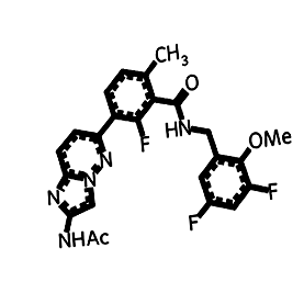 COc1c(F)cc(F)cc1CNC(=O)c1c(C)ccc(-c2ccc3nc(NC(C)=O)cn3n2)c1F